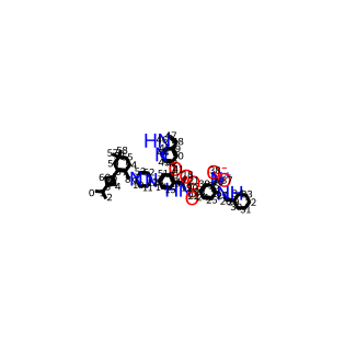 CC(C)C12CC(C3=C(CN4CCN(c5ccc(C(=O)NS(=O)(=O)c6ccc(NCC7CCCCC7)c([N+](=O)[O-])c6)c(Oc6cnc7[nH]ccc7c6)c5)CC4)CCC(C)(C)C3)(C1)C2